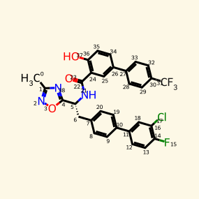 Cc1noc([C@@H](Cc2ccc(-c3ccc(F)c(Cl)c3)cc2)NC(=O)c2cc(-c3ccc(C(F)(F)F)cc3)ccc2O)n1